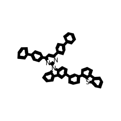 c1ccc(-c2ccc(-c3cc(-c4ccc(-c5ccccc5)cc4)nc(-n4c5ccccc5c5cc(-c6cccc(-c7cccc8c7sc7ccccc78)c6)ccc54)n3)cc2)cc1